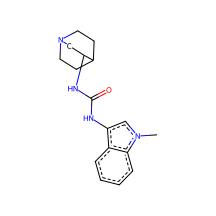 Cn1cc(NC(=O)NC2CN3CCC2CC3)c2ccccc21